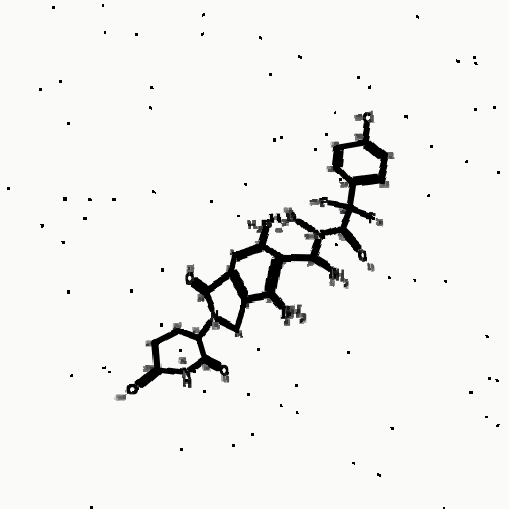 Bc1cc2c(c(B)c1C(B)N(B)C(=O)C(F)(F)c1ccc(Cl)cc1)CN(C1CCC(=O)NC1=O)C2=O